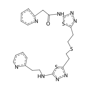 O=C(Cc1ccccn1)Nc1nnc(CCSCCc2nnc(NCCc3ccccn3)s2)s1